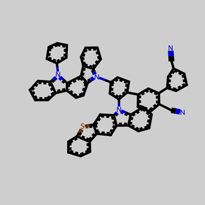 N#Cc1cccc(-c2cc(-c3ccc(-n4c5ccccc5c5c4ccc4c6ccccc6n(-c6ccccc6)c45)cc3-n3c4ccccc4c4cc5c(cc43)sc3ccccc35)ccc2C#N)c1